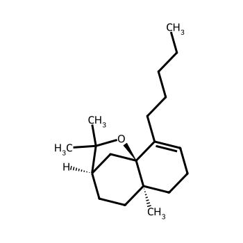 CCCCCC1=CCC[C@@]2(C)CC[C@@H]3C[C@]12OC3(C)C